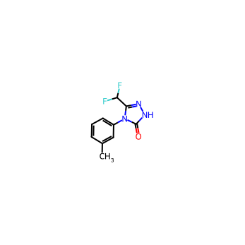 Cc1cccc(-n2c(C(F)F)n[nH]c2=O)c1